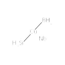 [BH2][Cu][SiH3].[Nb]